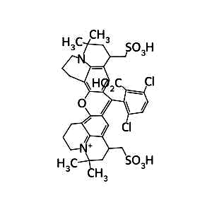 CC1(C)CC(CS(=O)(=O)O)c2cc3c(c4c2N1CCC4)Oc1c2c4c(cc1=C3c1c(Cl)ccc(Cl)c1C(=O)O)C(CS(=O)(=O)O)CC(C)(C)[N+]=4CCC2